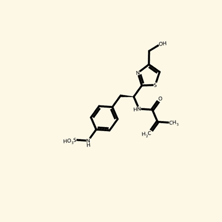 C=C(C)C(=O)N[C@@H](Cc1ccc(NS(=O)(=O)O)cc1)c1nc(CO)cs1